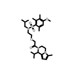 COc1cc(C)c(S(=O)(=O)N(CCOCC(=O)N2CCn3c(C)ccc3C2C(C)C)CC(C)C)c(C)c1C